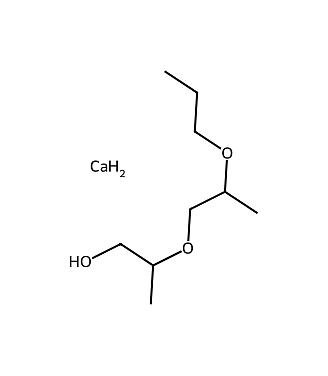 CCCOC(C)COC(C)CO.[CaH2]